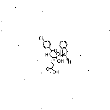 N#CC(N)Cc1ccccc1.O=C(O)CC[C@H](NC(=O)c1ccc(Cl)cc1)C(=O)O